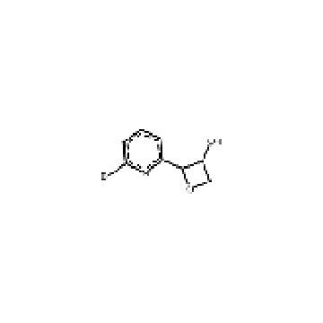 OC1COC1c1cccc(Br)n1